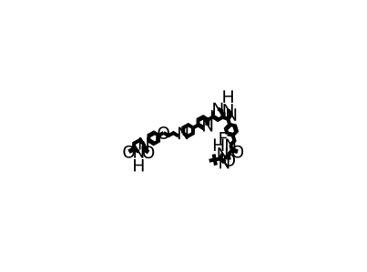 CC(C)(C)c1noc(C(=O)NCc2ccc(-c3n[nH]c4ncc(-c5ccc(C6CCN(CCCOc7ccc(N8CCC(=O)NC8=O)cc7)CC6)cn5)cc34)cc2F)n1